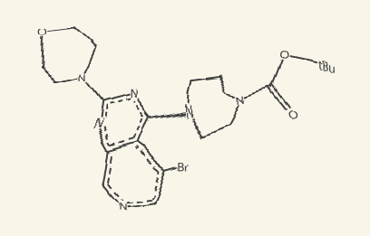 CC(C)(C)OC(=O)N1CCN(c2nc(N3CCOCC3)nc3cncc(Br)c23)CC1